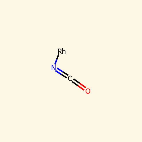 O=C=[N][Rh]